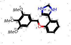 COc1cc(COc2ccccc2C2=CNCN2)cc(OC)c1OC